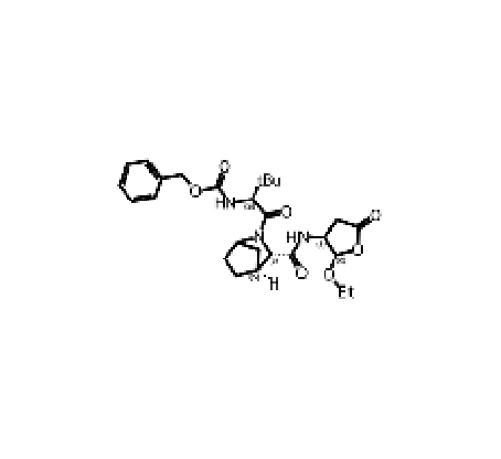 CCO[C@@H]1OC(=O)C[C@@H]1NC(=O)[C@@H]1[C@H]2CCC(C2)N1C(=O)[C@@H](NC(=O)OCc1ccccc1)C(C)(C)C